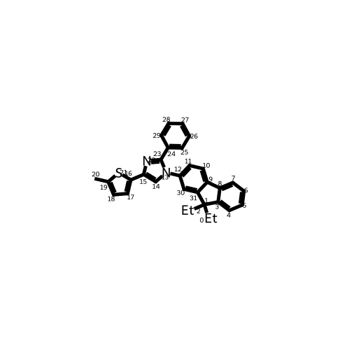 CCC1(CC)c2ccccc2-c2ccc(-n3cc(-c4ccc(C)s4)nc3-c3ccccc3)cc21